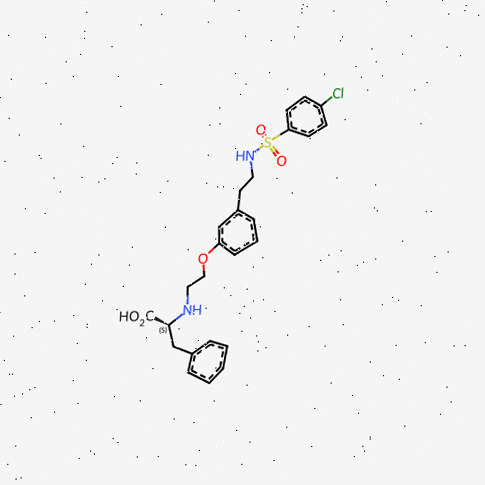 O=C(O)[C@H](Cc1ccccc1)NCCOc1cccc(CCNS(=O)(=O)c2ccc(Cl)cc2)c1